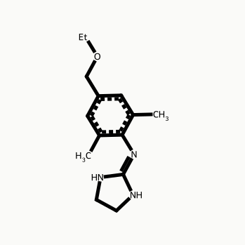 CCOCc1cc(C)c(N=C2NCCN2)c(C)c1